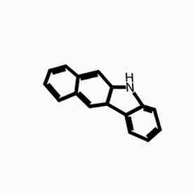 C1=c2ccccc2=CC2c3ccccc3NC12